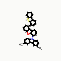 Cc1ccc2c(c1)c1cc(C)ccc1n2-c1cccc2c1oc1cccc(-c3cccc4c3sc3ccccc34)c12